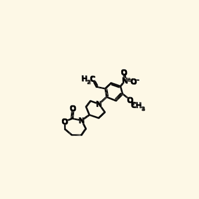 C=Cc1cc([N+](=O)[O-])c(OC)cc1N1CCC(N2CCCCOC2=O)CC1